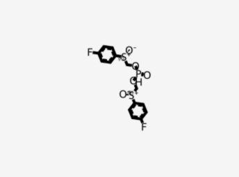 O=[PH](OC[S@@+]([O-])c1ccc(F)cc1)OC[S@@+]([O-])c1ccc(F)cc1